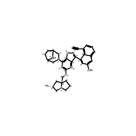 C#Cc1cccc2cc(O)cc(-c3noc4c(N5CC6CCC(C5)N6)nc(OC[C@@]56CCCN5C[C@H](F)C6)nc34)c12